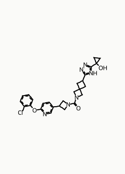 O=C(N1CC(c2ccc(Oc3ccccc3Cl)nc2)C1)N1CC2(CC(c3nnc(C4(O)CC4)[nH]3)C2)C1